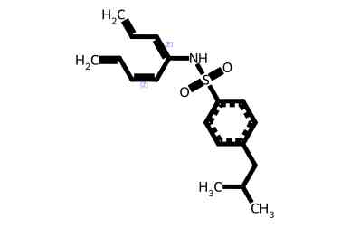 C=C/C=C\C(=C/C=C)NS(=O)(=O)c1ccc(CC(C)C)cc1